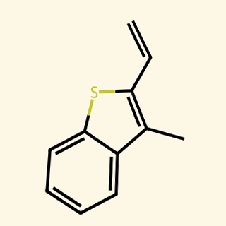 C=Cc1sc2ccccc2c1C